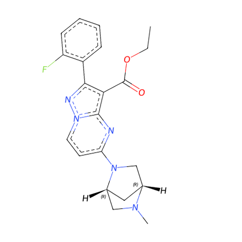 CCOC(=O)c1c(-c2ccccc2F)nn2ccc(N3C[C@H]4C[C@@H]3CN4C)nc12